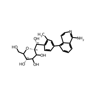 Cc1cc(-c2cccc3c(N)nccc23)ccc1[C@@H](O)[C@H]1OC(CO)[C@@H](O)C(O)C1O